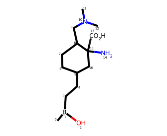 CB(O)CCC1CCC(CN(C)C)C(N)(C(=O)O)C1